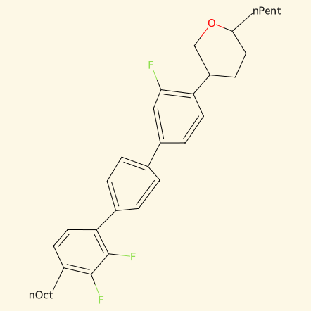 CCCCCCCCc1ccc(-c2ccc(-c3ccc(C4CCC(CCCCC)OC4)c(F)c3)cc2)c(F)c1F